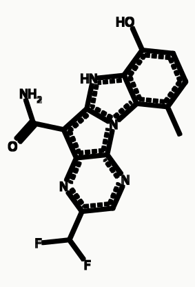 Cc1ccc(O)c2[nH]c3c(C(N)=O)c4nc(C(F)F)cnc4n3c12